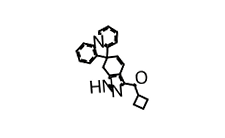 O=C(c1n[nH]c2c1C=CC(c1ccccc1)(c1ccccn1)C2)C1CCC1